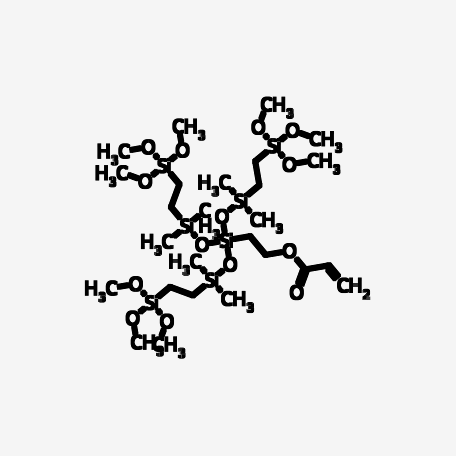 C=CC(=O)OCC[Si](O[Si](C)(C)CC[Si](OC)(OC)OC)(O[Si](C)(C)CC[Si](OC)(OC)OC)O[Si](C)(C)CC[Si](OC)(OC)OC